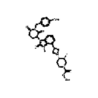 COc1ccc(CN2C(=O)CCC(n3c(=O)n(C)c4c(C5CN([C@H]6CCN(C(=O)OC(C)(C)C)C[C@@H]6F)C5)cccc43)C2=O)cc1